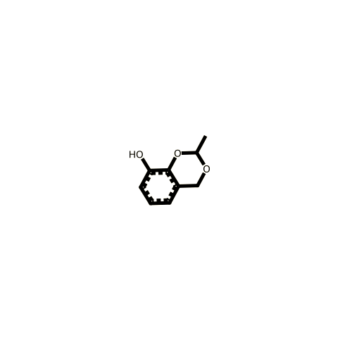 CC1OCc2cccc(O)c2O1